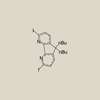 CCCCC1(CCCC)c2ccc(I)nc2-c2nc(I)ccc21